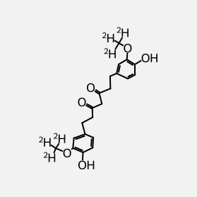 [2H]C([2H])([2H])Oc1cc(CCC(=O)CC(=O)CCc2ccc(O)c(OC([2H])([2H])[2H])c2)ccc1O